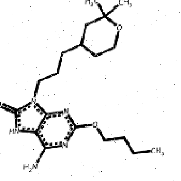 CCCCOc1nc(N)c2[nH]c(=O)n(CCCC3CCOC(C)(C)C3)c2n1